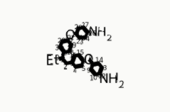 CCC(Cc1ccc(Oc2ccc(N)cc2)cc1)c1ccc(Oc2ccc(N)cc2)cc1